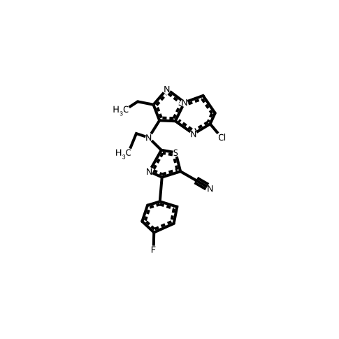 CCc1nn2ccc(Cl)nc2c1N(CC)c1nc(-c2ccc(F)cc2)c(C#N)s1